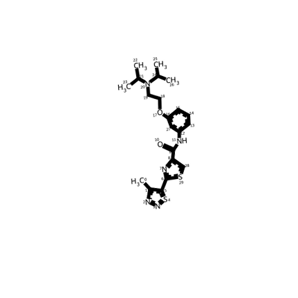 Cc1nnsc1-c1nc(C(=O)Nc2cccc(OCCN(C(C)C)C(C)C)c2)cs1